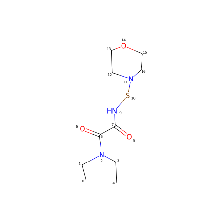 CCN(CC)C(=O)C(=O)NSN1CCOCC1